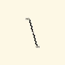 OCCCCCCCCSCCCCCCCCO